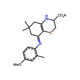 COc1ccc(/N=C2\CC(C)(C)CC3=C2SCC(C(=O)O)N3)c(C)c1